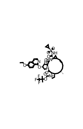 CCOc1ccc2c(O[C@@H]3C[C@H]4C(=O)N[C@]5(C(=O)NS(=O)(=O)C6CC6)CC5/C=C\CC[C@H](C)C[C@@H](CC)[C@H](NC(=O)OC(C)(C)C(F)(F)F)C(=O)N4C3)nccc2c1